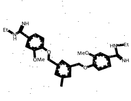 CCNC(=N)c1ccc(OCc2cc(C)cc(COc3ccc(C(=N)NCC)cc3OC)c2)c(OC)c1